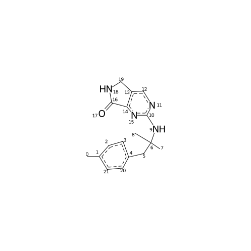 Cc1ccc(CC(C)(C)Nc2ncc3c(n2)C(=O)NC3)cc1